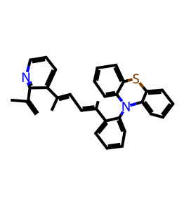 C=C(C)c1ncccc1/C(C)=C/C=C(\C)c1ccccc1N1c2ccccc2Sc2ccccc21